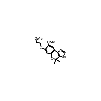 COCCOc1cc2c(cc1OC)-c1nn[se]c1C(C)(C)O2